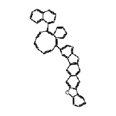 c1cccc(-c2cccc3ccccc23)c2ccccc2c(-c2ccc3sc4cc5cc6c(cc5cc4c3c2)oc2ccccc26)cc1